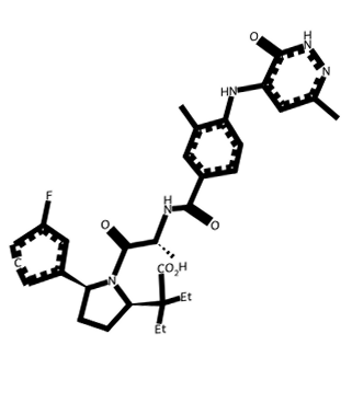 CCC(CC)(C(=O)O)[C@H]1CC[C@@H](c2cccc(F)c2)N1C(=O)[C@@H](C)NC(=O)c1ccc(Nc2cc(C)n[nH]c2=O)c(C)c1